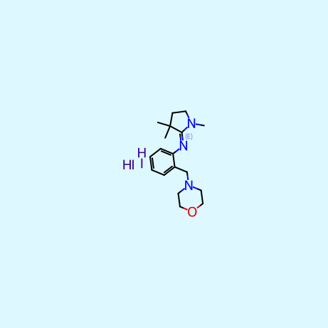 CN1CCC(C)(C)/C1=N\c1ccccc1CN1CCOCC1.I.I